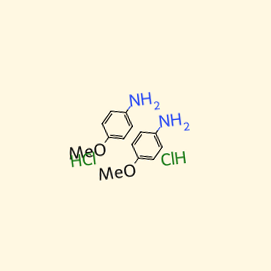 COc1ccc(N)cc1.COc1ccc(N)cc1.Cl.Cl